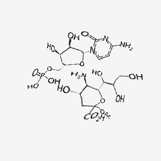 CC(=O)OC1(C(=O)O)C[C@H](O)[C@@H](N)[C@H](C(O)C(O)CO)O1.Nc1ccn([C@@H]2O[C@H](COP(=O)(O)O)[C@@H](O)[C@H]2O)c(=O)n1